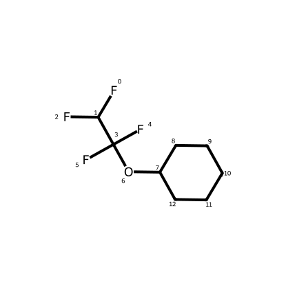 FC(F)C(F)(F)OC1CC[CH]CC1